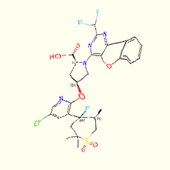 C[C@H]1CS(=O)(=O)C(C)(C)C[C@]1(F)c1cc(Cl)cnc1O[C@H]1C[C@@H](C(=O)O)N(c2nc(C(F)F)nc3c2oc2ccccc23)C1